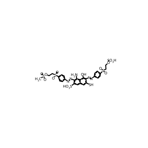 CS(=O)(=O)OCCS(=O)(=O)c1ccc(/N=N/c2c(S(=O)(=O)O)cc3cc(S)c(/N=N/c4ccc(S(=O)(=O)CCOS(=O)(=O)O)cc4)c(O)c3c2N)cc1